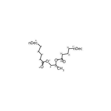 CCCCCCCCCCCCCCC(=O)OCC(C)OC(=O)CCCCCCCCCCCCC